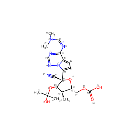 C[C@H]1[C@@H](OC(C)(C)O)[C@](C#N)(c2ccc3c(/N=C\N(C)C)ncnn23)O[C@@H]1COC(=O)O